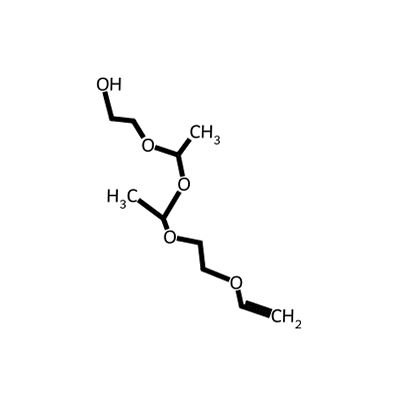 C=COCCOC(C)OC(C)OCCO